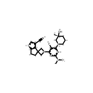 C[S+]([O-])c1nc(N2CC3(CCc4scc(C#N)c43)C2)c(F)c(N2CCC[C@@](C)(O)C2)n1